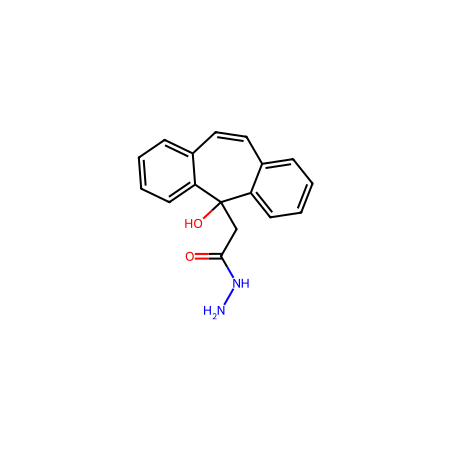 NNC(=O)CC1(O)c2ccccc2C=Cc2ccccc21